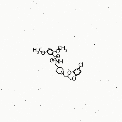 COc1ccc(OC)c(S(=O)(=O)NCC2CCN(CC3COc4ccc(Cl)cc4O3)CC2)c1